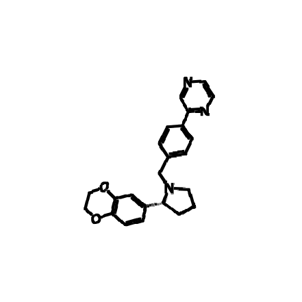 c1cnc(-c2ccc(CN3CCC[C@@H]3c3ccc4c(c3)OCCO4)cc2)cn1